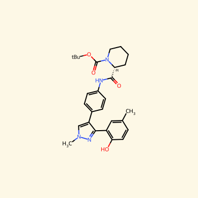 Cc1ccc(O)c(-c2nn(C)cc2-c2ccc(NC(=O)[C@H]3CCCCN3C(=O)OC(C)(C)C)cc2)c1